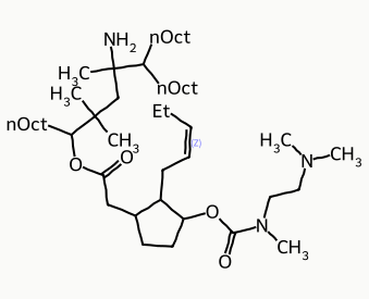 CC/C=C\CC1C(CC(=O)OC(CCCCCCCC)C(C)(C)CC(C)(N)C(CCCCCCCC)CCCCCCCC)CCC1OC(=O)N(C)CCN(C)C